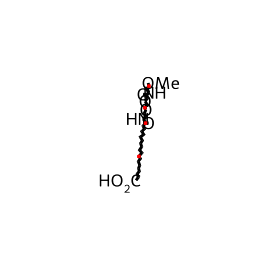 COCCNC(=O)COCCOCCNC(=O)CCCCCCCCCCCCCCCCCCC(=O)O